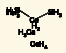 [GaH3].[GeH4].[InH3].[SiH3][GeH2][SiH3]